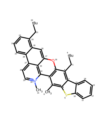 Cc1c2c(c(CC(C)(C)C)c3c1sc1ccccc13)Oc1cc3c(CC(C)(C)C)cccc3c3cc[n+](C)c-2c13